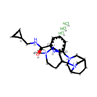 CC(C)N1CCC(N2CC3CCC2CN(c2cccc(C(=O)NCC4CC4)n2)C3)CC1.Cl.Cl.Cl